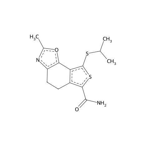 Cc1nc2c(o1)-c1c(SC(C)C)sc(C(N)=O)c1CC2